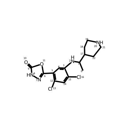 CC(Nc1cc(-c2n[nH]c(=O)o2)c(Cl)cc1Cl)C1CCNCC1